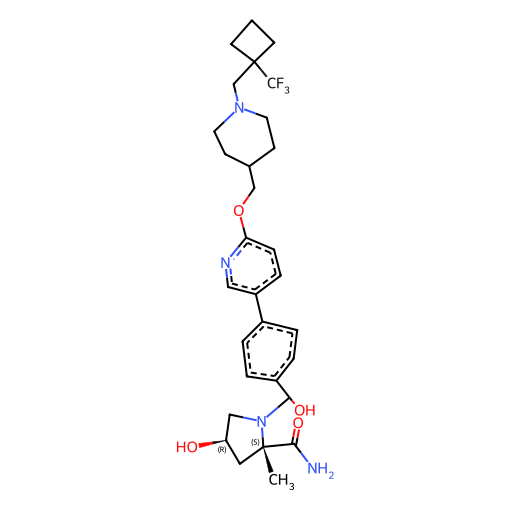 C[C@@]1(C(N)=O)C[C@@H](O)CN1C(O)c1ccc(-c2ccc(OCC3CCN(CC4(C(F)(F)F)CCC4)CC3)nc2)cc1